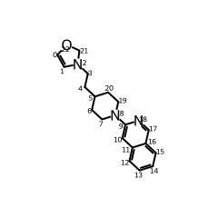 C1=CN(CCC2CCN(c3cc4ccccc4cn3)CC2)CO1